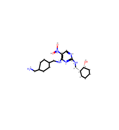 NCC1CCC(CNc2nc(NC[C@H]3CCCC[C@H]3O)ncc2[N+](=O)[O-])CC1